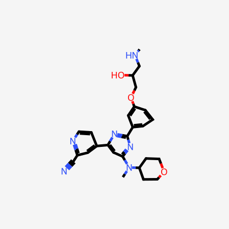 CNCC(O)COc1cccc(-c2nc(-c3ccnc(C#N)c3)cc(N(C)C3CCOCC3)n2)c1